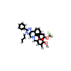 CCCCn1c(-c2ccccc2)nc(-c2ccccc2)c1CN(Cc1ccc(OC(F)F)cc1)Cc1ccc(OC)c(C)c1